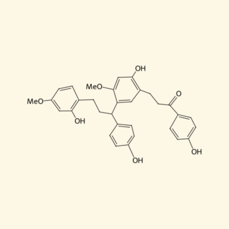 COc1ccc(CCC(c2ccc(O)cc2)c2cc(CCC(=O)c3ccc(O)cc3)c(O)cc2OC)c(O)c1